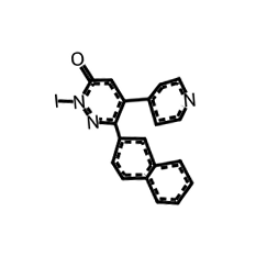 O=c1cc(-c2ccncc2)c(-c2ccc3ccccc3c2)nn1I